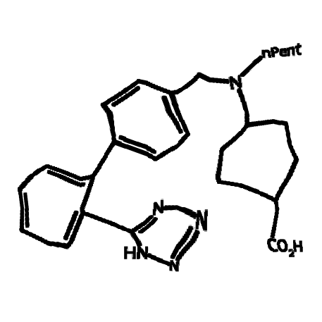 CCCCCN(Cc1ccc(-c2ccccc2-c2nnn[nH]2)cc1)C1CCC(C(=O)O)CC1